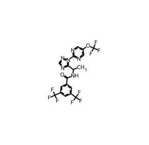 CC(NC(=O)c1cc(C(F)(F)F)cc(C(F)(F)F)c1)c1ncnn1-c1ncc(OC(F)(F)F)cn1